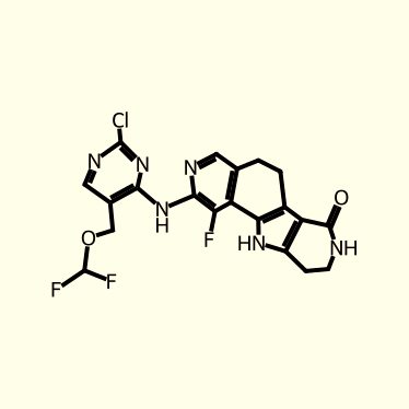 O=C1NCCc2[nH]c3c(c21)CCc1cnc(Nc2nc(Cl)ncc2COC(F)F)c(F)c1-3